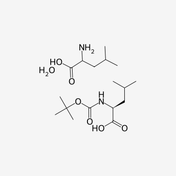 CC(C)CC(N)C(=O)O.CC(C)C[C@H](NC(=O)OC(C)(C)C)C(=O)O.O